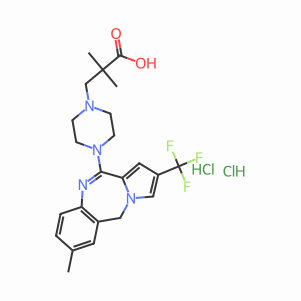 Cc1ccc2c(c1)Cn1cc(C(F)(F)F)cc1C(N1CCN(CC(C)(C)C(=O)O)CC1)=N2.Cl.Cl